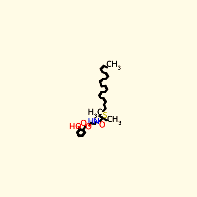 CC/C=C\C/C=C\C/C=C\C/C=C\C/C=C\C/C=C\CCCSC(CC)(CC)C(=O)NCCOC(=O)c1ccccc1O